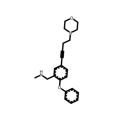 CNCc1cc(C#CCCN2CCOCC2)ccc1Oc1ccccc1